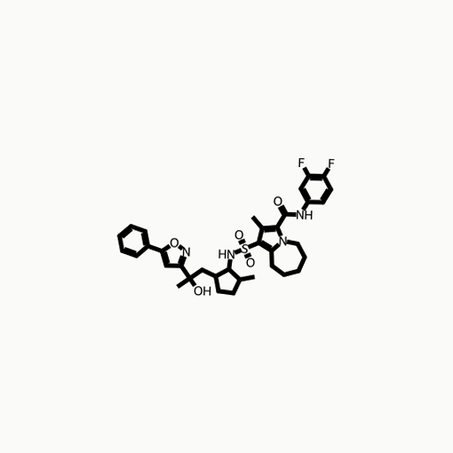 Cc1c(S(=O)(=O)NC2C(C)CCC2CC(C)(O)c2cc(-c3ccccc3)on2)c2n(c1C(=O)Nc1ccc(F)c(F)c1)CCCCC2